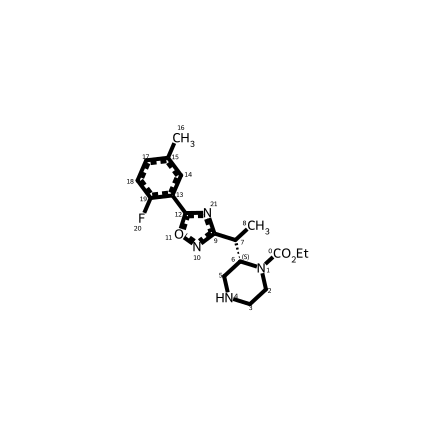 CCOC(=O)N1CCNC[C@@H]1C(C)c1noc(-c2cc(C)ccc2F)n1